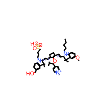 CCCCC[N+]1=C(/C=C/C2=C(OC(c3cc[n+](C)cc3)C(C)C)C(=C/C=C3/N(CCCCS(=O)(=O)O)c4ccc(CO)cc4C3(C)C)/CC2)C(C)(C)c2cc(OC)ccc21